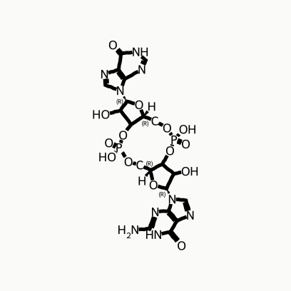 Nc1nc2c(ncn2[C@@H]2O[C@@H]3COP(=O)(O)OC4C(O)[C@H](n5cnc6c(=O)[nH]cnc65)O[C@@H]4COP(=O)(O)OC3C2O)c(=O)[nH]1